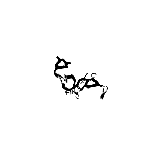 COc1cc2c(c(OC)c1)[C@H](C)C=C1N(C2)C(=O)NC12CCN(Cc1cc(C)cc(C)c1)CC2